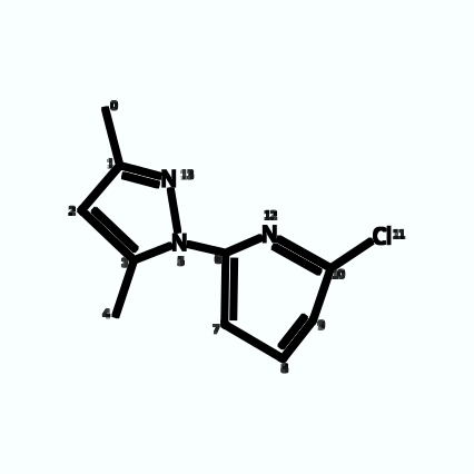 Cc1cc(C)n(-c2cccc(Cl)n2)n1